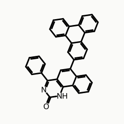 O=c1nc(-c2ccccc2)c2cc(-c3ccc4c5ccccc5c5ccccc5c4c3)c3ccccc3c2[nH]1